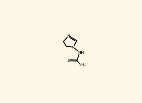 NC(=S)NN1C=NCC1